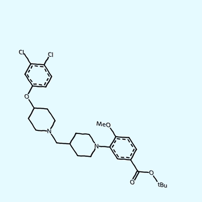 COc1ccc(C(=O)OC(C)(C)C)cc1N1CCC(CN2CCC(Oc3ccc(Cl)c(Cl)c3)CC2)CC1